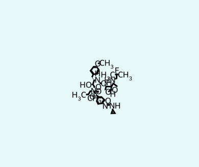 COc1ccc(C[C@H](NC(=O)O[C@H]2CO[C@H]3OC[C@H](NCC(C)(C)F)[C@H]32)[C@H](O)CN(CC(C)C)S(=O)(=O)c2ccc3nc(NC4CC4)oc3c2)cc1